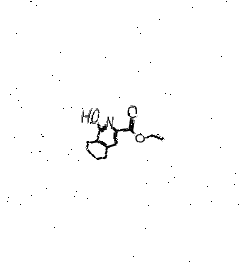 CCOC(=O)c1cc2c(c(O)n1)CCCC2